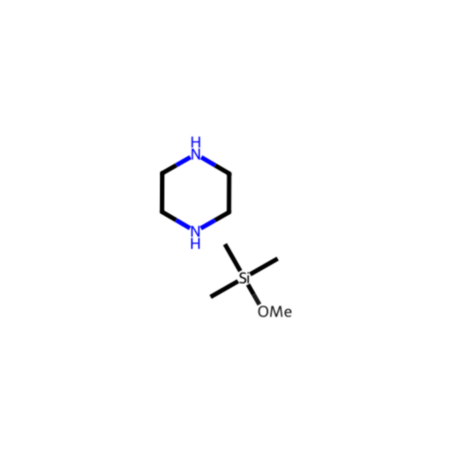 C1CNCCN1.CO[Si](C)(C)C